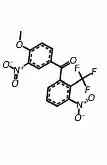 COc1ccc(C(=O)c2cccc([N+](=O)[O-])c2C(F)(F)F)cc1[N+](=O)[O-]